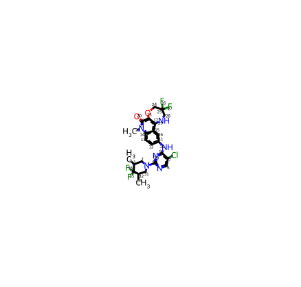 CC1CN(c2ncc(Cl)c(Nc3ccc4c(c3)c3c(c(=O)n4C)OCC(F)(F)CN3)n2)CC(C)C1(F)F